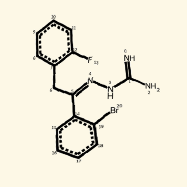 N=C(N)N/N=C(/Cc1ccccc1F)c1ccccc1Br